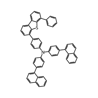 c1ccc(-c2cccc3c2sc2c(-c4ccc(N(c5ccc(-c6cccc7ccccc67)cc5)c5ccc(-c6cccc7ccccc67)cc5)cc4)cccc23)cc1